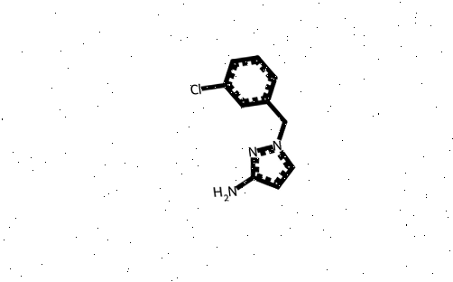 Nc1ccn(Cc2cccc(Cl)c2)n1